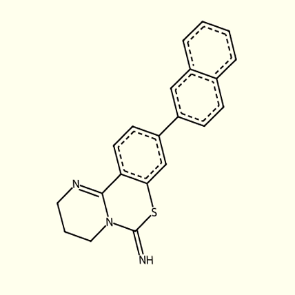 N=C1Sc2cc(-c3ccc4ccccc4c3)ccc2C2=NCCCN12